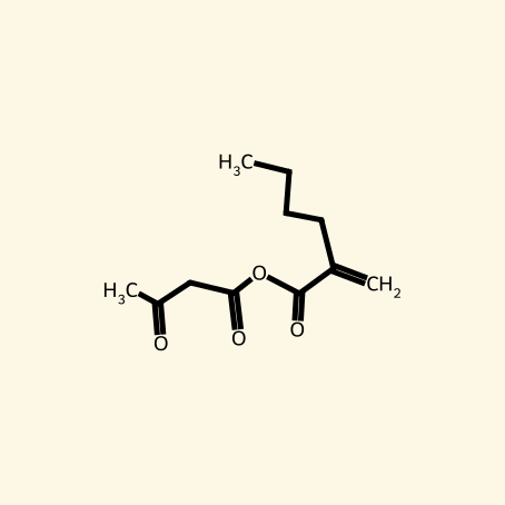 C=C(CCCC)C(=O)OC(=O)CC(C)=O